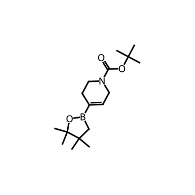 CC(C)(C)OC(=O)N1CC=C(B2CC(C)(C)C(C)(C)O2)CC1